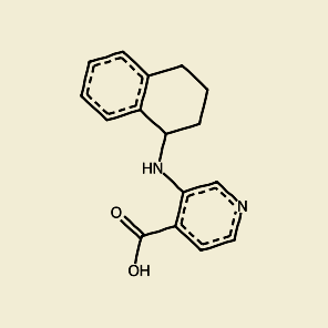 O=C(O)c1ccncc1NC1CCCc2ccccc21